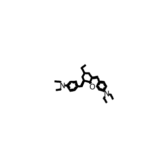 CCC1CC(=Cc2ccc(N(CC)CC)cc2)C(=O)C(=Cc2ccc(N(CC)CC)cc2)C1